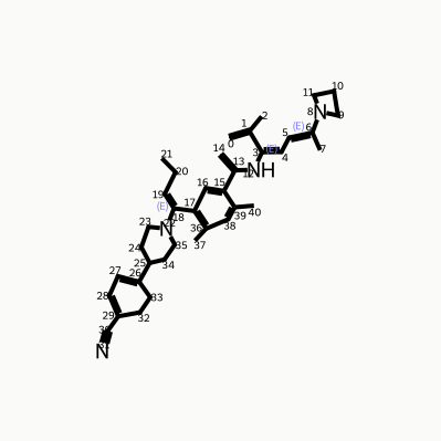 C=C(C)/C(=C\C=C(/C)N1CCC1)NC(=C)c1cc(/C(=C\CC)N2CCC(C3=CC=C(C#N)CC3)CC2)c(C)cc1C